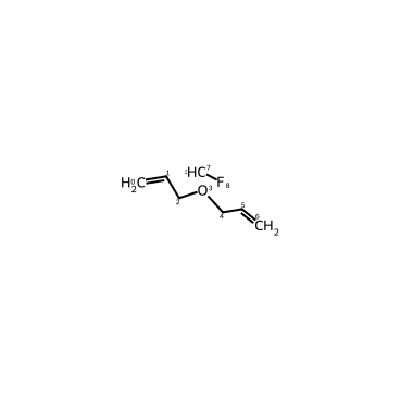 C=CCOCC=C.[CH]F